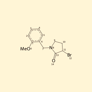 COc1ccccc1CN1CCC(Br)C1=O